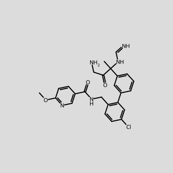 COc1ccc(C(=O)NCc2ccc(Cl)cc2-c2cccc(C(C)(NC=N)C(=O)CN)c2)cn1